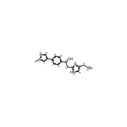 Cn1cc(-c2ccc(C(O)Cc3nc(CC(C)(C)C)c[nH]3)cc2)cn1